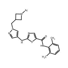 CC(=O)N1CC(Cn2cc(Nc3ncc(C(=O)Nc4c(C)cccc4C)s3)cn2)C1